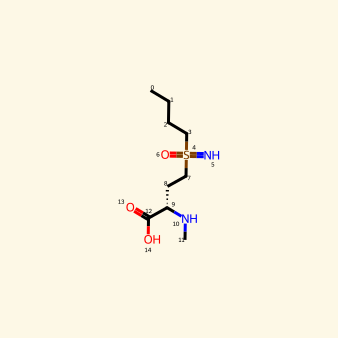 CCCCS(=N)(=O)CC[C@H](NC)C(=O)O